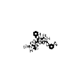 CCC(NC(=O)COc1cccc(N(C)C)c1)C(=O)N[C@@H](Cc1ccccc1)[C@H](O)C(=O)N1CSC(C)(C)C1C(=O)NC(C)(C)C